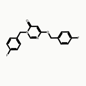 O=c1cc(OCc2ccc(F)cc2)ncn1Cc1ccc(F)cc1